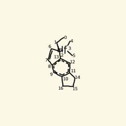 CC[C]1([Hf]([CH3])[CH3])C=Cc2cc3c(cc21)CCC3